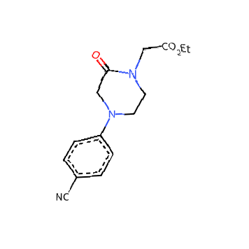 CCOC(=O)CN1CCN(c2ccc(C#N)cc2)CC1=O